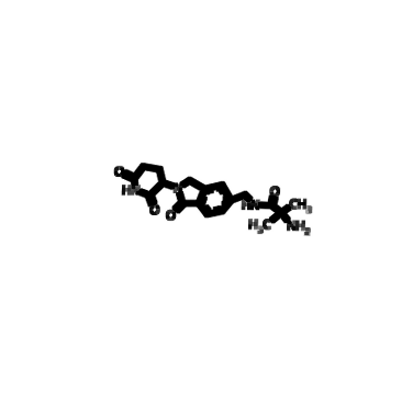 CC(C)(N)C(=O)NCc1ccc2c(c1)CN(C1CCC(=O)NC1=O)C2=O